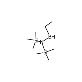 CCBN([Si](C)(C)C)[Si](C)(C)C